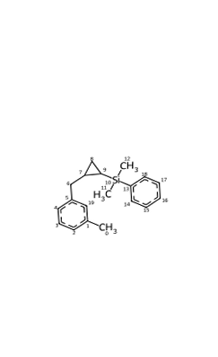 Cc1cccc(CC2CC2[Si](C)(C)c2ccccc2)c1